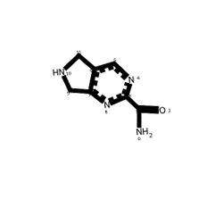 NC(=O)c1ncc2c(n1)CNC2